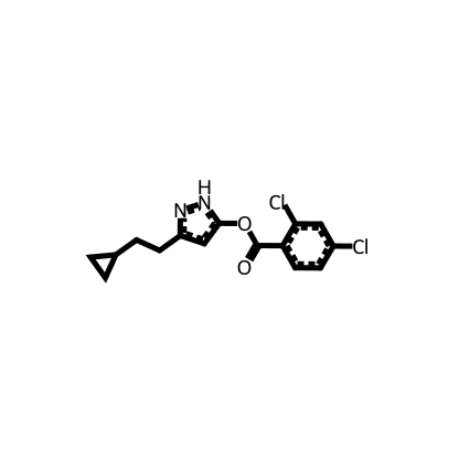 O=C(Oc1cc(CCC2CC2)n[nH]1)c1ccc(Cl)cc1Cl